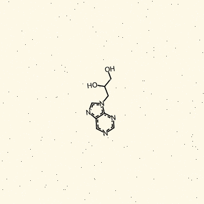 OCC(O)Cn1cnc2cncnc21